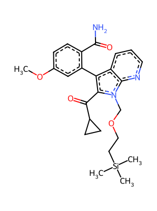 COc1ccc(C(N)=O)c(-c2c(C(=O)C3CC3)n(COCC[Si](C)(C)C)c3ncccc23)c1